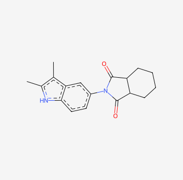 Cc1[nH]c2ccc(N3C(=O)C4CCCCC4C3=O)cc2c1C